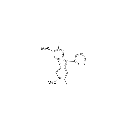 COc1cc2c3cc(SC)c(C)cc3p(-c3ccccc3)c2cc1C